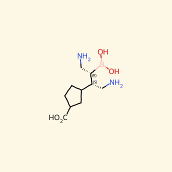 NC[C@H](B(O)O)[C@H](CN)C1CCC(C(=O)O)C1